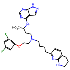 O=C(O)C(CCN(CCCCc1ccc2c(n1)NCCC2)CCOc1cc(F)cc(F)c1)Nc1ncnc2[nH]ncc12